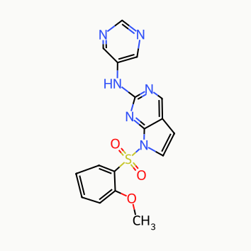 COc1ccccc1S(=O)(=O)n1ccc2cnc(Nc3cncnc3)nc21